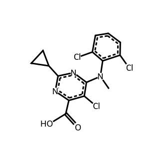 CN(c1nc(C2CC2)nc(C(=O)O)c1Cl)c1c(Cl)cccc1Cl